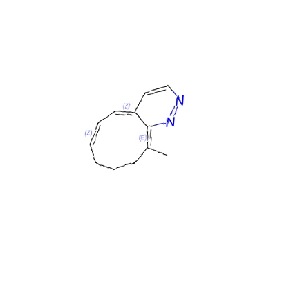 C\C1=c2/nncc/c2=C/C=C\CCC1